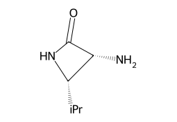 CC(C)[C@@H]1NC(=O)[C@@H]1N